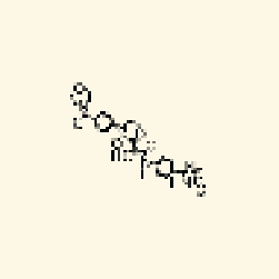 O=C(Nc1ccc(-c2noc(=O)[nH]2)cc1)[C@H](O)[C@H]1OCCN(c2ccc(C(=O)N3CCOCC3)cc2)C1=O